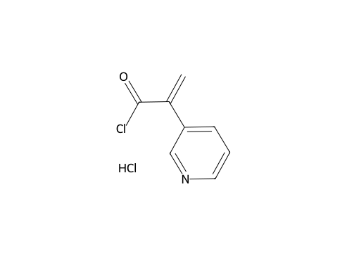 C=C(C(=O)Cl)c1cccnc1.Cl